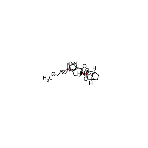 COCCCNC1CCN(S(=O)(=O)N2[C@@H]3CC[C@H]2C[C@@H](NC(=O)c2cc(C4CC4)on2)C3)CC1